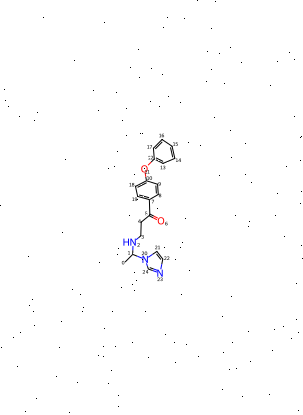 CC(NCCC(=O)c1ccc(Oc2ccccc2)cc1)n1ccnc1